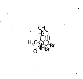 CCN1CCC[C@@H]2c3cc(Br)c(Br)c4c3c(c(C)n4NC=O)C[C@H]21